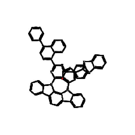 c1ccc(-c2nc(-c3ccc(-c4ccccc4)c4ccccc34)nc(-n3c4ccccc4c4ccc5c6ccccc6n(-c6cccc(-c7nc8ccccc8o7)c6)c5c43)n2)cc1